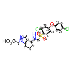 O=C(O)Cn1ncc2c1CCC[C@H]2NCS(=O)(=O)c1ccc(Oc2ccc(Cl)cc2)cc1Cl